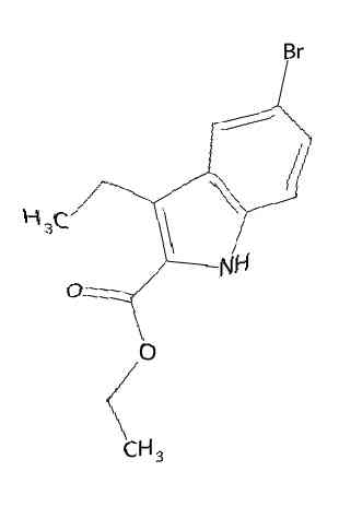 CCOC(=O)c1[nH]c2ccc(Br)cc2c1CC